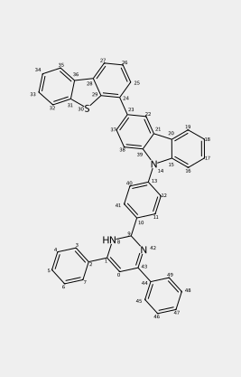 C1=C(c2ccccc2)NC(c2ccc(-n3c4ccccc4c4cc(-c5cccc6c5sc5ccccc56)ccc43)cc2)N=C1c1ccccc1